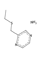 CCSCc1cnccn1.N